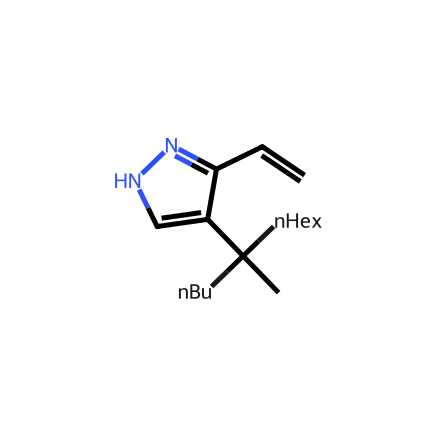 C=Cc1n[nH]cc1C(C)(CCCC)CCCCCC